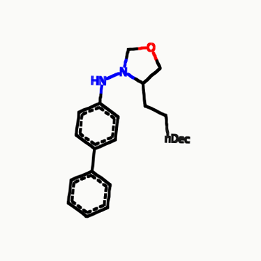 CCCCCCCCCCCCC1COCN1Nc1ccc(-c2ccccc2)cc1